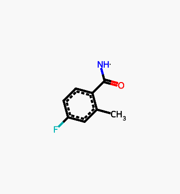 Cc1cc(F)ccc1C([NH])=O